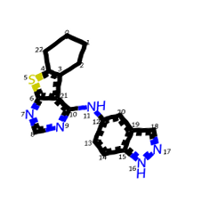 [CH]1CCc2c(sc3ncnc(Nc4ccc5[nH]ncc5c4)c23)C1